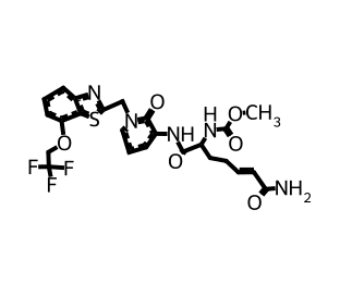 COC(=O)NC(CC/C=C/C(N)=O)C(=O)Nc1cccn(Cc2nc3cccc(OCC(F)(F)F)c3s2)c1=O